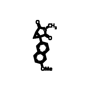 COc1ccc2cc(C34CC3C(=O)N(C)C4=O)ccc2c1